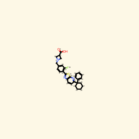 O=C(O)C1CN(Cc2ccc(-c3nc4ccc(C5(c6ccccc6)CCCCC5)nc4s3)c(F)c2)C1